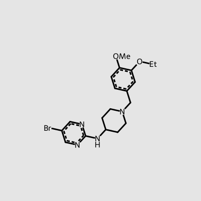 CCOc1cc(CN2CCC(Nc3ncc(Br)cn3)CC2)ccc1OC